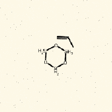 C=CC.O1[SiH2]O[SiH2]O[SiH2]1